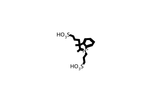 CC1=[N+](CCCS(=O)(=O)O)c2ccccc2C1(C)CCCS(=O)(=O)O